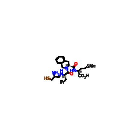 CSCC[C@H](NC(=O)[C@H]1Cc2ccccc2CN1C(=O)[C@H](CC(C)C)NCC(N)CS)C(=O)O